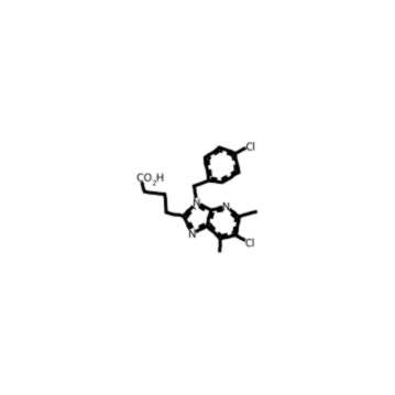 Cc1nc2c(nc(CCCC(=O)O)n2Cc2ccc(Cl)cc2)c(C)c1Cl